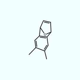 Cc1cc2c(cc1C)C1C=CC2O1